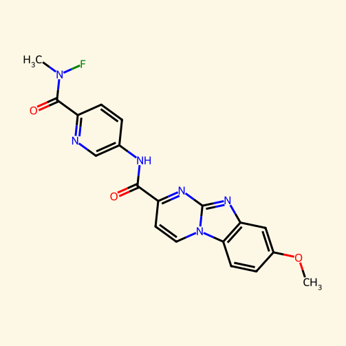 COc1ccc2c(c1)nc1nc(C(=O)Nc3ccc(C(=O)N(C)F)nc3)ccn12